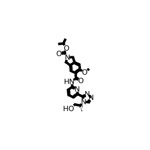 COc1cc2c(cc1C(=O)Nc1cccc(-c3nncn3[C@H](C)CO)n1)CN(C(=O)OC(C)C)C2